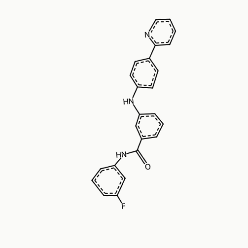 O=C(Nc1cccc(F)c1)c1cccc(Nc2ccc(-c3ccccn3)cc2)c1